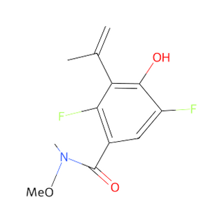 C=C(C)c1c(O)c(F)cc(C(=O)N(C)OC)c1F